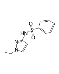 CCn1ccc(NS(=O)(=O)c2ccccc2)n1